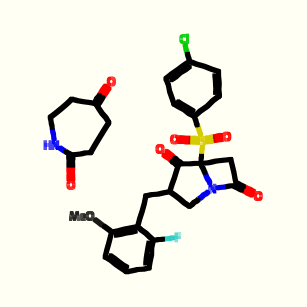 COc1cccc(F)c1CC1CN2C(=O)CC2(S(=O)(=O)c2ccc(Cl)cc2)C1=O.O=C1CCNC(=O)CC1